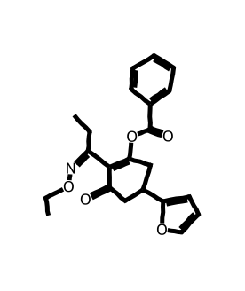 CCO/N=C(/CC)C1=C(OC(=O)c2ccccc2)CC(c2ccco2)CC1=O